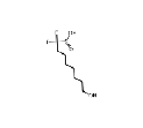 O=S(O)C(F)(F)CCCCCCCO